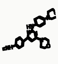 CC(=O)Nc1ccc(-c2cc(N3CCOCC3)nc(Nc3ccc(N4CCOCC4)cc3)n2)cc1